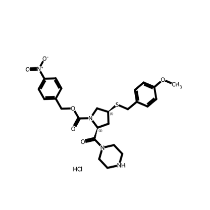 COc1ccc(CS[C@H]2C[C@@H](C(=O)N3CCNCC3)N(C(=O)OCc3ccc([N+](=O)[O-])cc3)C2)cc1.Cl